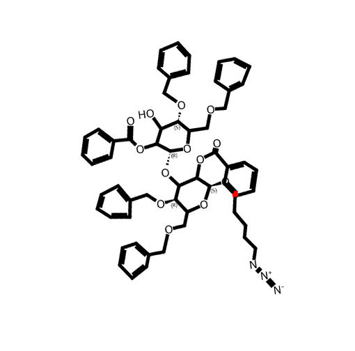 [N-]=[N+]=NCCCCCO[C@H]1OC(COCc2ccccc2)[C@@H](OCc2ccccc2)C(O[C@H]2OC(COCc3ccccc3)[C@@H](OCc3ccccc3)C(O)C2OC(=O)c2ccccc2)C1OC(=O)c1ccccc1